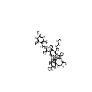 CCCCOc1c2n(cc(C(=O)NCc3c(F)cc(F)cc3F)c1=O)[C@@H]1CN(C2=O)[C@@H](C)CC[C@]12CC(Cl)=NO2